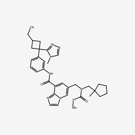 Cn1cnnc1C1(c2cccc(NC(=O)c3cc(CN(CC4(C)CCCC4)C(=O)OC(C)(C)C)cn4ccnc34)c2)CC(CC#N)C1